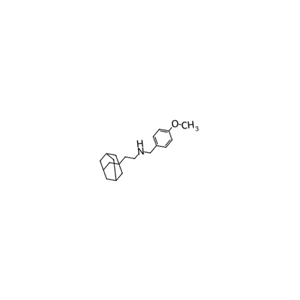 COc1ccc(CNCCC23CC4CC(CC(C4)C2)C3)cc1